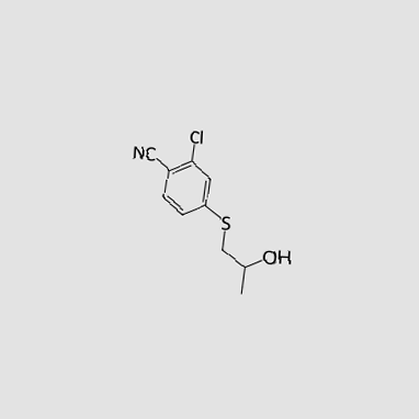 CC(O)CSc1ccc(C#N)c(Cl)c1